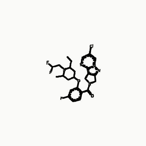 CCC1CC(Oc2cc(F)ccc2C(=O)N2Cc3nn4cc(Cl)cnc4c3C2)CC(C)N1CC(F)F